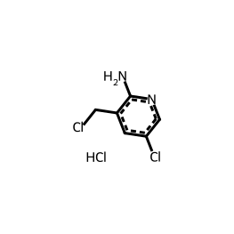 Cl.Nc1ncc(Cl)cc1CCl